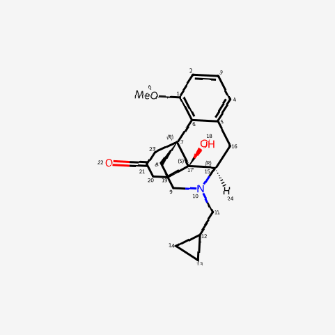 COc1cccc2c1[C@]13CCN(CC4CC4)[C@H](C2)[C@]1(O)CCC(=O)C3